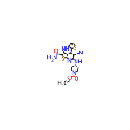 CCOC(=O)N1CCC(Nc2nc3sc(C(N)=O)c(N)c3c(-c3cccs3)c2C#N)CC1